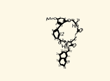 COc1ccc2c(c1)-c1cccc(c1)C(=O)N(C)[C@H](C(=O)NCc1ccc3ccccc3c1)CCC(=O)N[C@H](C)CO2